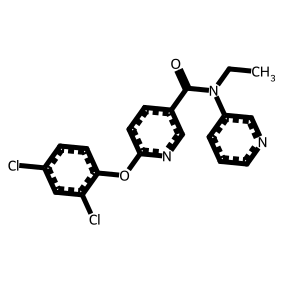 CCN(C(=O)c1ccc(Oc2ccc(Cl)cc2Cl)nc1)c1cccnc1